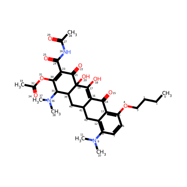 CCCCOc1ccc(N(C)C)c2c1C(=O)C1=C(O)C3(O)C(=O)C(C(=O)NC(C)=O)=C(OC(C)=O)C(N(C)C)C3CC1C2